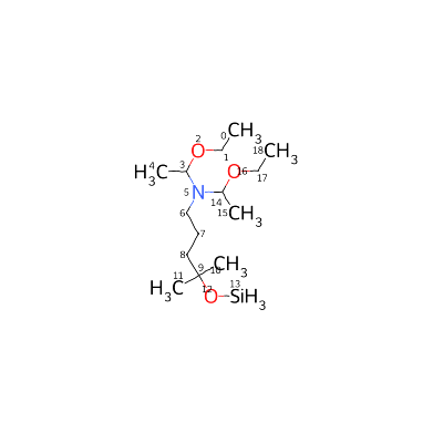 CCOC(C)N(CCCC(C)(C)O[SiH3])C(C)OCC